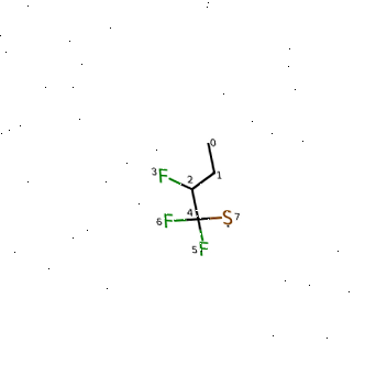 CCC(F)C(F)(F)[S]